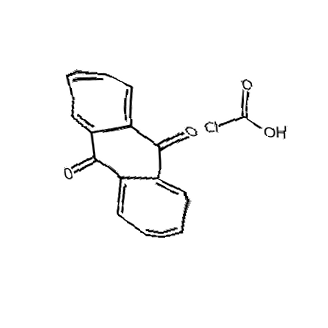 O=C(O)Cl.O=C1c2ccccc2C(=O)c2ccccc21